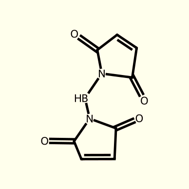 O=C1C=CC(=O)N1BN1C(=O)C=CC1=O